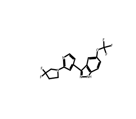 FC1(F)CCN(c2cc(-c3n[nH]c4ccc(OC(F)(F)F)cc34)ccn2)C1